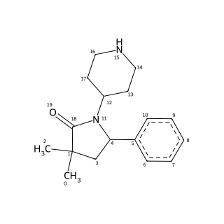 CC1(C)CC(c2ccccc2)N(C2CCNCC2)C1=O